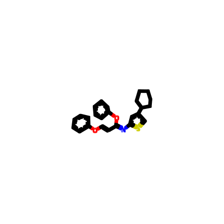 C(=CC(=Nc1cc(C2CCCCC2)cs1)Oc1ccccc1)Oc1ccccc1